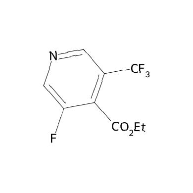 CCOC(=O)c1c(F)cncc1C(F)(F)F